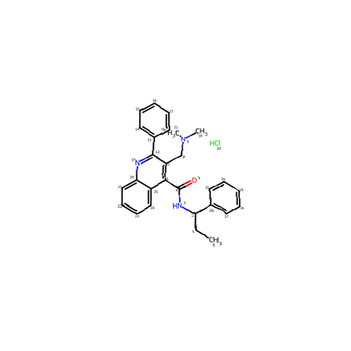 CCC(NC(=O)c1c(CN(C)C)c(-c2ccccc2)nc2ccccc12)c1ccccc1.Cl